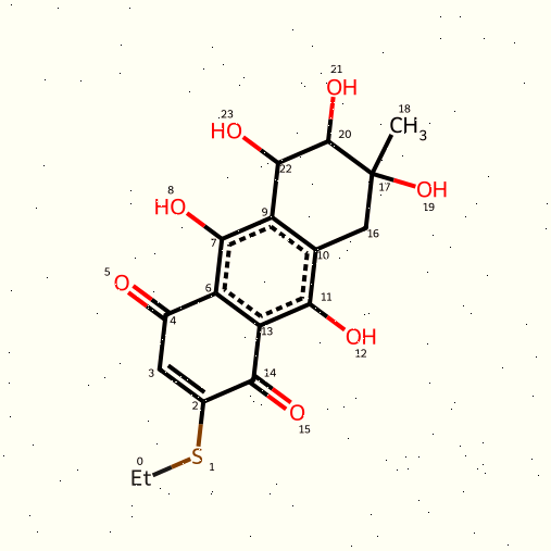 CCSC1=CC(=O)c2c(O)c3c(c(O)c2C1=O)CC(C)(O)C(O)C3O